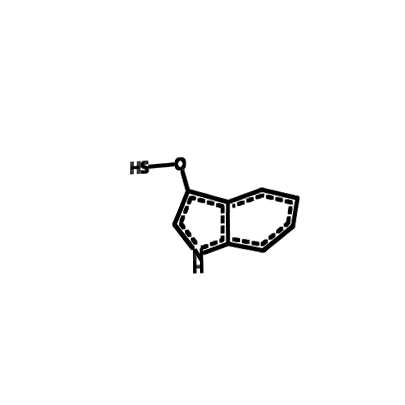 SOc1c[nH]c2ccccc12